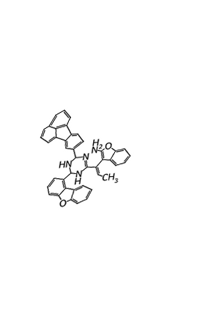 C/C=C(/C1=NC(c2ccc3c(c2)-c2cccc4cccc-3c24)NC(c2cccc3oc4ccccc4c23)N1)c1c(N)oc2ccccc12